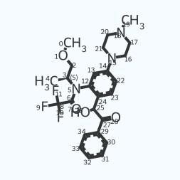 COC[C@H](C)N(C(=O)C(F)(F)F)c1cc(N2CCN(C)CC2)ccc1C(O)C(=O)c1ccccc1